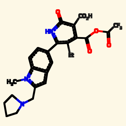 CCc1c(-c2ccc3c(c2)cc(CN2CCCC2)n3C)[nH]c(=O)c(C(=O)O)c1C(=O)OC(=O)C(F)(F)F